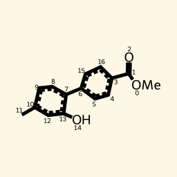 COC(=O)c1ccc(-c2ccc(C)cc2O)cc1